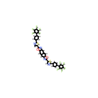 Fc1c(F)c(F)c(-c2ccc(-c3ncc(-c4nc5cc6cc7oc(-c8cnc(-c9ccc(-c%10c(F)c(F)c(F)c(F)c%10F)cc9)s8)nc7cc6cc5o4)s3)cc2)c(F)c1F